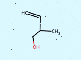 [CH]=CC(C)CO